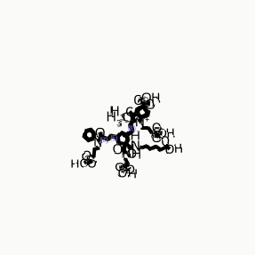 CC1(C)C(/C=C/C2=CC(=C/C=C3\Oc4ccccc4N3CCCS(=O)(=O)O)/CC(C(=O)NCCCCCC(=O)O)(C(=O)NCCS(=O)(=O)O)C2)=[N+](CCCS(=O)(=O)O)c2ccc(S(=O)(=O)O)cc21